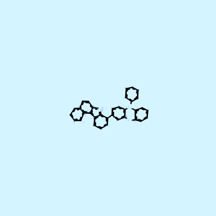 c1ccc(N2c3ccccc3Oc3cc(-c4cccc5c4[nH]c4ccc6ccccc6c45)ccc32)cc1